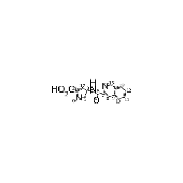 Cn1cc(NC(=O)c2cc3ccccc3cn2)cc1C(=O)O